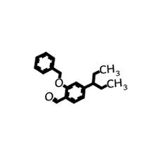 CCC(CC)c1ccc(C=O)c(OCc2ccccc2)c1